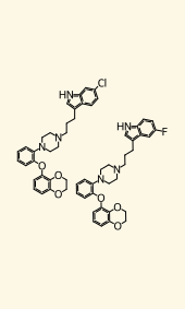 Clc1ccc2c(CCCN3CCN(c4ccccc4Oc4cccc5c4OCCO5)CC3)c[nH]c2c1.Fc1ccc2[nH]cc(CCCN3CCN(c4ccccc4Oc4cccc5c4OCCO5)CC3)c2c1